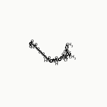 Cc1csc2c(OC(=O)N3CCN(C)CC3)cc3c(c12)[C@H](CCl)CN3C(=O)c1cc2cc(NC(=O)c3cc4cc(NC(=O)CCOCCOCCOCCOCCNC(=O)CCN5C(=O)C=CC5=O)ccc4[nH]3)ccc2[nH]1